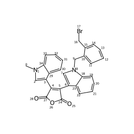 Cn1cc(C2=C(c3cn(Cc4ccccc4CBr)c4ccccc34)C(=O)OC2=O)c2ccccc21